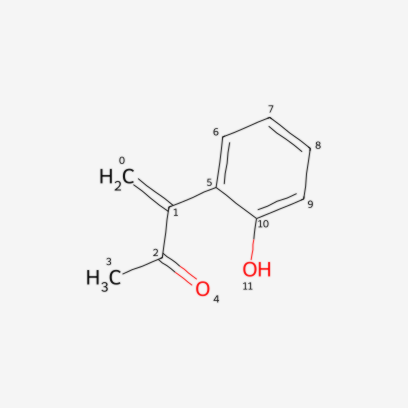 C=C(C(C)=O)c1ccccc1O